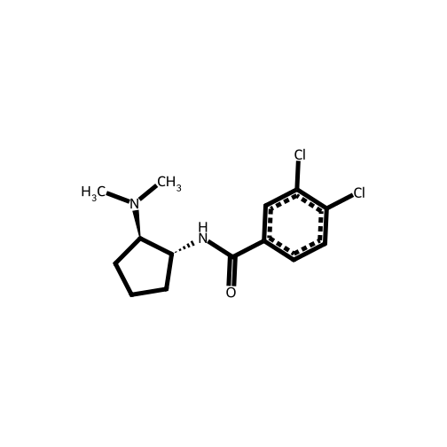 CN(C)[C@@H]1CCC[C@H]1NC(=O)c1ccc(Cl)c(Cl)c1